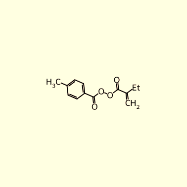 C=C(CC)C(=O)OOC(=O)c1ccc(C)cc1